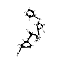 O=C(Nc1nc(Sc2ccncc2)cs1)c1ccc(F)cc1